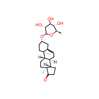 C[C@H]1OC(O[C@H]2CC[C@@]3(C)C(=CC[C@@H]4[C@@H]3CC[C@]3(C)C(=O)CC[C@@H]43)C2)[C@H](O)[C@@H](O)[C@@H]1O